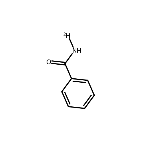 [2H]NC(=O)c1ccccc1